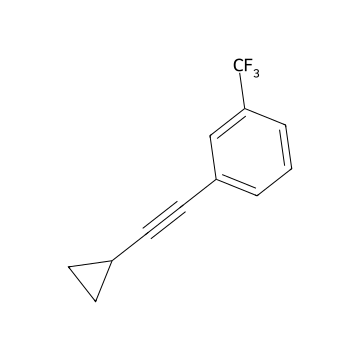 FC(F)(F)c1cccc(C#CC2CC2)c1